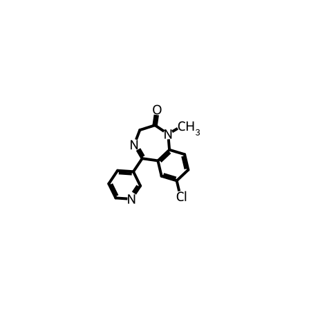 CN1C(=O)CN=C(c2cccnc2)c2cc(Cl)ccc21